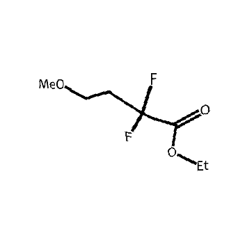 CCOC(=O)C(F)(F)CCOC